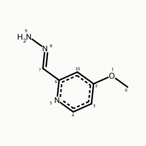 COc1ccnc(C=NN)c1